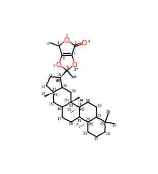 CC1OC(=O)C2=C1OC(C)([C@@H]1CC[C@@]3(C)CC4CCC5[C@]6(C)CCCC(C)(C)C6CC[C@]5(C)[C@@]4(C)CC13)O2